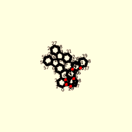 c1ccc(-c2cc3c(cc2N(c2ccccc2)c2ccccc2)C2(c4ccccc4-c4ccc(N(c5ccccc5)c5ccc6ccccc6c5)cc42)c2ccccc2-3)cc1